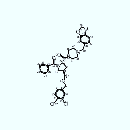 O=C([C@@H]1CC(=NOCc2ccc(Cl)c(Cl)c2)CN1C(=O)c1ccccc1)N1CCN(Cc2ccc3c(c2)OCO3)CC1